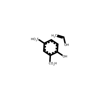 C=CO.O=C(O)c1cc(S(=O)(=O)O)ccc1O